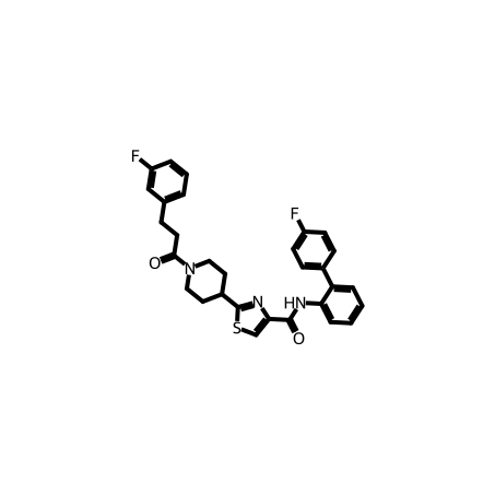 O=C(Nc1ccccc1-c1ccc(F)cc1)c1csc(C2CCN(C(=O)CCc3cccc(F)c3)CC2)n1